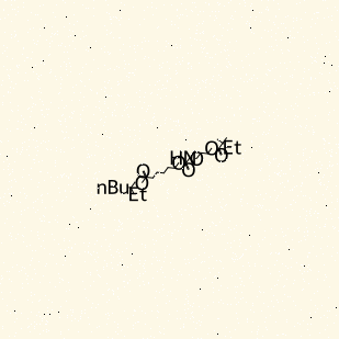 CCCCC(CC)COC(=O)CCCCCOC(=O)NOCCOC(=O)C(C)(C)CC